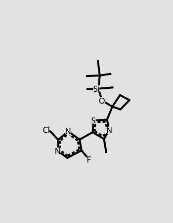 Cc1nc(C2(O[Si](C)(C)C(C)(C)C)CCC2)sc1-c1nc(Cl)ncc1F